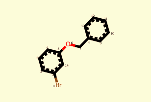 Brc1cc[c]c(OCc2ccccc2)c1